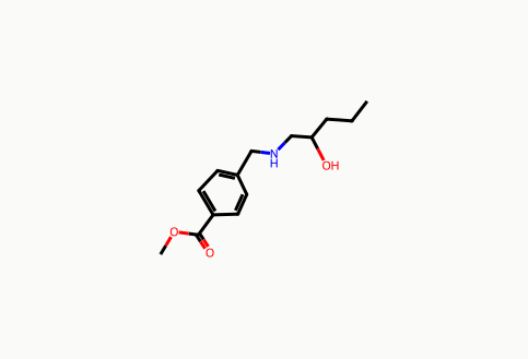 CCCC(O)CNCc1ccc(C(=O)OC)cc1